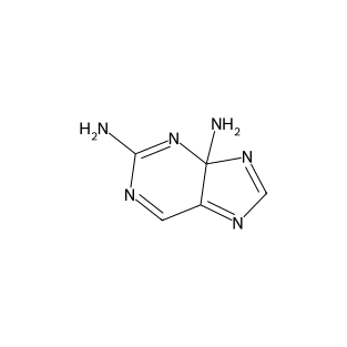 NC1=NC2(N)N=CN=C2C=N1